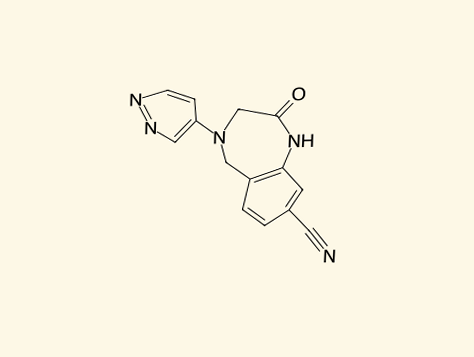 N#Cc1ccc2c(c1)NC(=O)CN(c1ccnnc1)C2